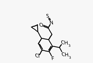 CC(C)C1=C(F)C(Cl)=CC(C2CC2)C1CC(=O)N=S